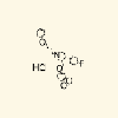 Cl.Fc1ccc([C@H]2CCN(CCCCOc3ccccc3)C[C@@H]2COc2ccc3c(c2)OCO3)cc1